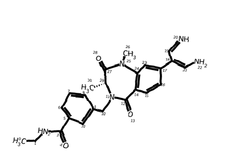 CCNC(=O)c1cccc(CN2C(=O)c3ccc(/C(C=N)=C/N)cc3N(C)C(=O)[C@H]2C)c1